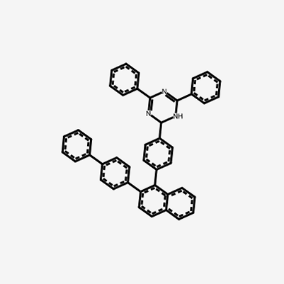 c1ccc(C2=NC(c3ccc(-c4c(-c5ccc(-c6ccccc6)cc5)ccc5ccccc45)cc3)NC(c3ccccc3)=N2)cc1